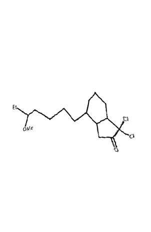 CCC(CCCCC1CCCC2C1CC(=O)C2(Cl)Cl)OC